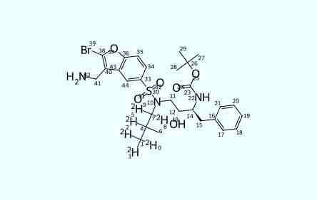 [2H]C([2H])([2H])C([2H])(C)C([2H])([2H])N(C[C@@H](O)[C@H](Cc1ccccc1)NC(=O)OC(C)(C)C)S(=O)(=O)c1ccc2oc(Br)c(CN)c2c1